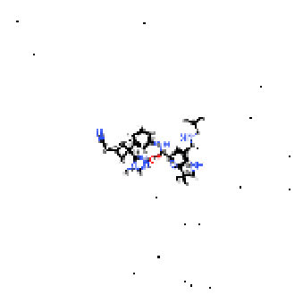 CC(C)CNCc1cc(C(=O)Nc2cccc(C3(c4nncn4C)CC(CC#N)C3)c2)nc2c1NCC2(C)C